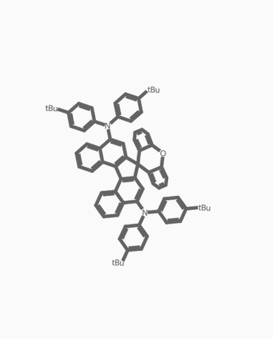 CC(C)(C)c1ccc(N(c2ccc(C(C)(C)C)cc2)c2cc3c(c4ccccc24)-c2c(cc(N(c4ccc(C(C)(C)C)cc4)c4ccc(C(C)(C)C)cc4)c4ccccc24)C32c3ccccc3Oc3ccccc32)cc1